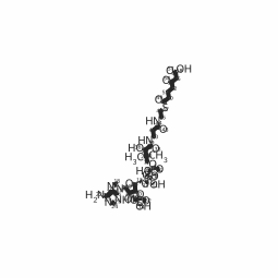 CC(C)(COP(=O)(O)OP(=O)(O)OC[C@H]1O[C@@H](n2cnc3c(N)ncnc32)[C@H](O)[C@@H]1OP(=O)(O)O)[C@@H](O)C(=O)NCCC(=O)NCCSC(=O)CCCC(=O)CC(=O)O